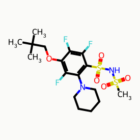 CC(C)(C)COc1c(F)c(F)c(S(=O)(=O)NS(C)(=O)=O)c(N2CCCCC2)c1F